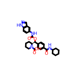 O=C(Nc1ccc2[nH]ncc2c1)OC(c1ccc(C(=O)NC2CCCCC2)cc1)[C@@H]1CCCCN1C(=O)O